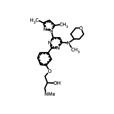 CNCC(O)COc1cccc(-c2nc(N(C)C3CCOCC3)cc(-n3nc(C)cc3C)n2)c1